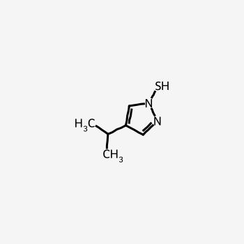 CC(C)c1cnn(S)c1